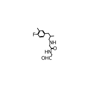 Cc1cc(CC(C)CNCC(=O)NCC=O)ccc1F